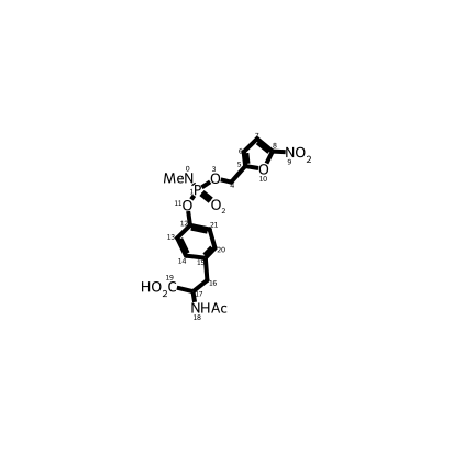 CNP(=O)(OCc1ccc([N+](=O)[O-])o1)Oc1ccc(CC(NC(C)=O)C(=O)O)cc1